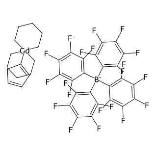 C1=CC[C]([Gd]23([CH2]CCC[CH2]2)[CH2]CCC[CH2]3)=C1.Fc1c(F)c(F)c([B-](c2c(F)c(F)c(F)c(F)c2F)(c2c(F)c(F)c(F)c(F)c2F)c2c(F)c(F)c(F)c(F)c2F)c(F)c1F